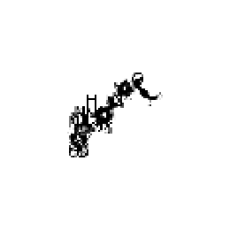 CCC#CC(=O)N1CC[C@@H](N2CC(c3cc(C)c4c(c3)Nc3ncnc(N5CCS(=O)(=O)CC5)c3[C@@H](C)O4)C2)C1